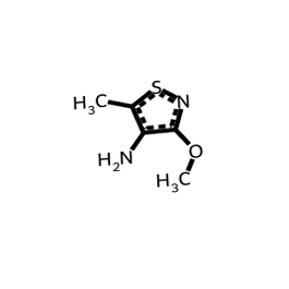 COc1nsc(C)c1N